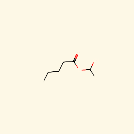 CCCCCCCCCC(=O)OC(O)CC